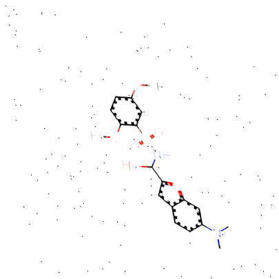 CCOc1ccc(OC(F)(F)F)cc1S(=O)(=O)NC(O)c1cc2ccc(N(C)C)cc2o1